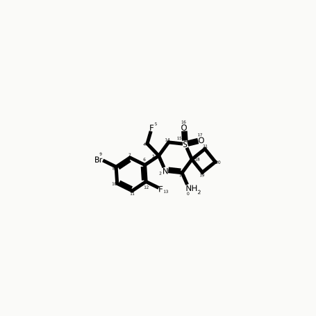 NC1=NC(CF)(c2cc(Br)ccc2F)CS(=O)(=O)C12CCC2